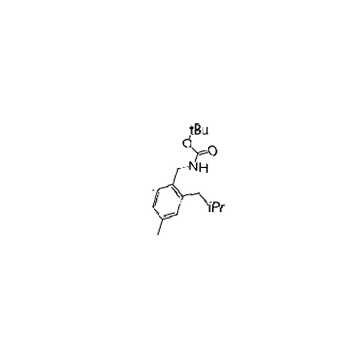 Cc1c[c]c(CNC(=O)OC(C)(C)C)c(CC(C)C)c1